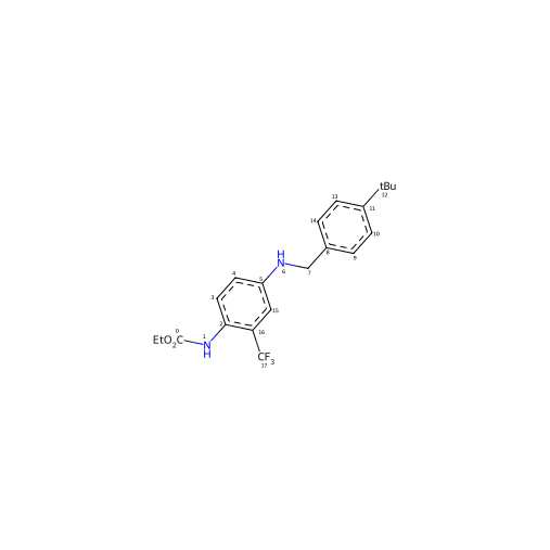 CCOC(=O)Nc1ccc(NCc2ccc(C(C)(C)C)cc2)cc1C(F)(F)F